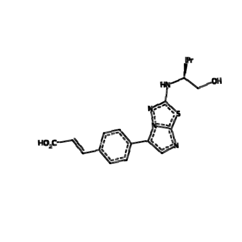 CC(C)[C@@H](CO)Nc1nn2c(-c3ccc(C=CC(=O)O)cc3)cnc2s1